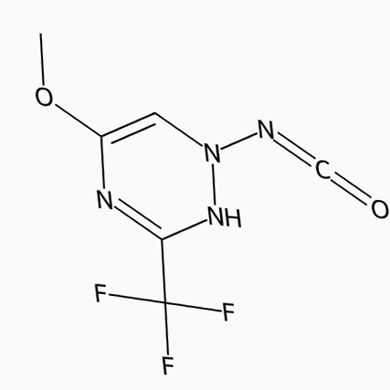 COC1=CN(N=C=O)NC(C(F)(F)F)=N1